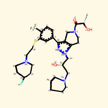 C[C@H](O)C(=O)N1CCc2c(c(-c3ccc(C(F)(F)F)c(SCCN4CCC(F)CC4)c3)nn2C[C@@H](O)CN2CCCCC2)C1